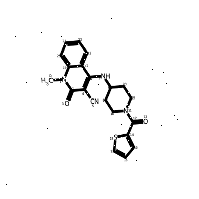 Cn1c(=O)c(C#N)c(NC2CCN(C(=O)c3cccs3)CC2)c2ccccc21